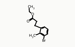 CCOC(=O)CCc1cccc(Br)c1C